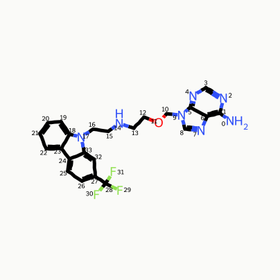 Nc1ncnc2c1ncn2COCCNCCn1c2ccccc2c2ccc(C(F)(F)F)cc21